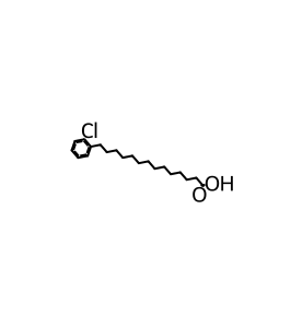 O=C(O)CCCCCCCCCCCCCc1ccccc1Cl